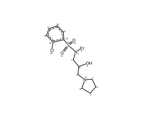 CCN(CC(O)CN1CCCC1)S(=O)(=O)c1c[c]ccc1Cl